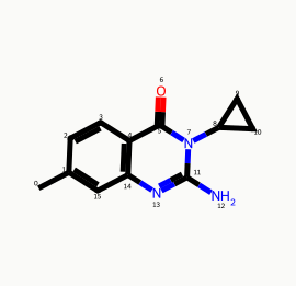 Cc1ccc2c(=O)n(C3CC3)c(N)nc2c1